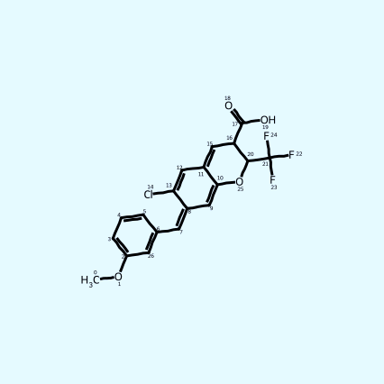 COc1cccc(C=c2cc3c(cc2Cl)=CC(C(=O)O)C(C(F)(F)F)O3)c1